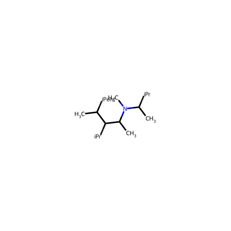 CCCC(C)C(C)C(C(C)C)C(C)N(C)C(C)C(C)C